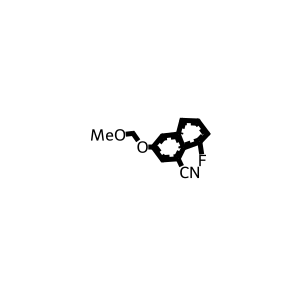 COCOc1cc(C#N)c2c(F)cccc2c1